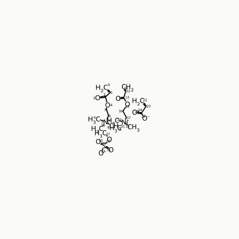 C=CC(=O)OCC[N+](C)(C)C.C=CC(=O)OCC[N+](C)(C)C.C=CC(=O)[O-].COS(=O)(=O)[O-]